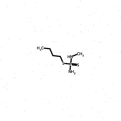 CCCCSP(N)(=S)NC